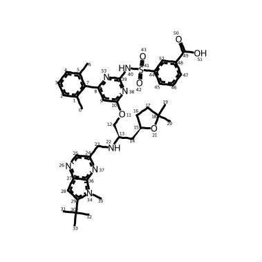 Cc1cccc(C)c1-c1cc(OC[C@@H](C[C@H]2CCC(C)(C)O2)NCc2cnc3cc(C(C)(C)C)n(C)c3n2)nc(NS(=O)(=O)c2cccc(C(=O)O)c2)n1